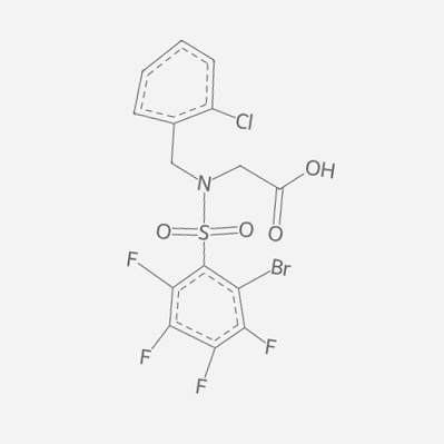 O=C(O)CN(Cc1ccccc1Cl)S(=O)(=O)c1c(F)c(F)c(F)c(F)c1Br